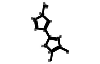 Cc1nc(-c2cnn(C(C)C)c2)oc1C